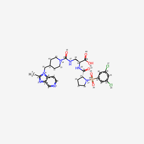 Cc1nc2cnccc2n1CC1CCN(C(=O)NC[C@H](NC(=O)[C@H]2CCCN2S(=O)(=O)c2cc(Cl)cc(Cl)c2)C(=O)O)CC1